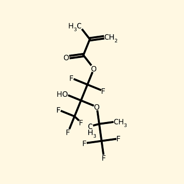 C=C(C)C(=O)OC(F)(F)C(O)(OC(C)(C)C(F)(F)F)C(F)(F)F